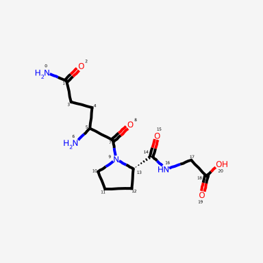 NC(=O)CCC(N)C(=O)N1CCC[C@H]1C(=O)NCC(=O)O